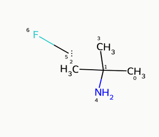 CC(C)(C)N.[C]F